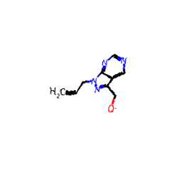 C=CCn1nc(C[O])c2cncnc21